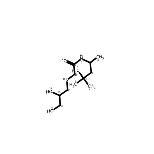 CC(CC(C)(C)C)NC(=O)CSCC(O)CO